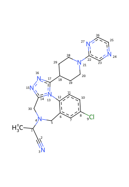 CC(C#N)N1Cc2cc(Cl)ccc2-n2c(nnc2C2CCN(c3cnccn3)CC2)C1